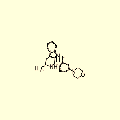 C[C@H]1Cc2c([nH]c3ccccc23)[C@H](c2ccc(N3CCOCC3)cc2F)N1